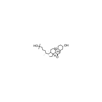 C[C@H](CCCC(C)(C)O)[C@H]1CC[C@H]2[C@@H]3C(=O)C=C4C[C@@H](O)CC[C@]4(C)[C@H]3CC[C@]12C